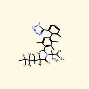 [2H]C([2H])(C)C([2H])([2H])C([2H])(C)C([2H])([2H])C(=O)N(C(C)c1c(C)cc(-c2c(C)cccc2-c2nnn[nH]2)c(C)c1C)[C@](C)(C(=O)O)C(CC)C(C)(C)C